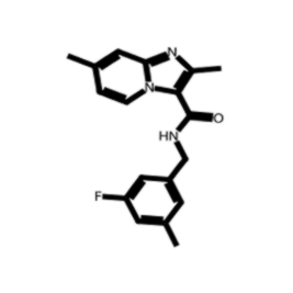 Cc1cc(F)cc(CNC(=O)c2c(C)nc3cc(C)ccn23)c1